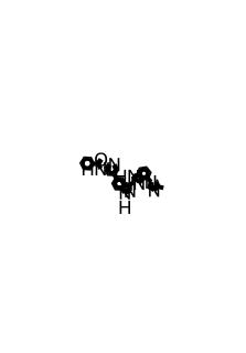 Cc1cn(-c2cccc3[nH]c(-c4n[nH]c5ccc(-c6cncc(NC(=O)C7CCCCC7)c6)cc45)nc23)cn1